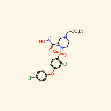 CCOC(=O)CN1CCN(S(=O)(=O)c2ccc(Oc3ccc(Cl)cc3)cc2)[C@@H](C(=O)NO)C1.Cl